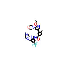 CCOc1ncc(-c2cc(C(=O)Nc3cc(CN4CCN(C)CC4)cc(C(F)(F)F)c3)ccc2C)cc1N1CCOCC1